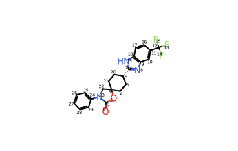 O=C1O[C@]2(CC[C@@H](c3nc4cc(C(F)(F)F)ccc4[nH]3)CC2)CN1c1ccccc1